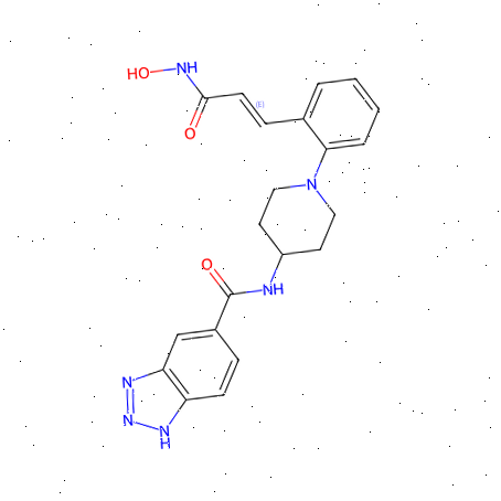 O=C(/C=C/c1ccccc1N1CCC(NC(=O)c2ccc3[nH]nnc3c2)CC1)NO